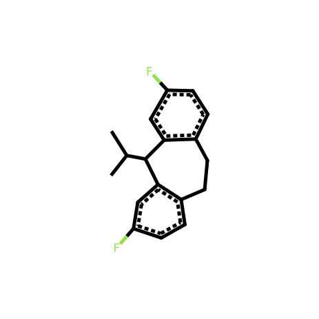 CC(C)C1c2cc(F)ccc2CCc2ccc(F)cc21